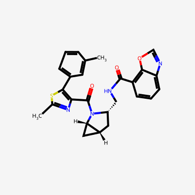 Cc1cccc(-c2sc(C)nc2C(=O)N2[C@H](CNC(=O)c3cccc4ncoc34)C[C@@H]3C[C@@H]32)c1